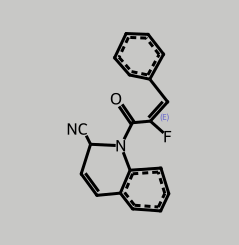 N#CC1C=Cc2ccccc2N1C(=O)/C(F)=C\c1ccccc1